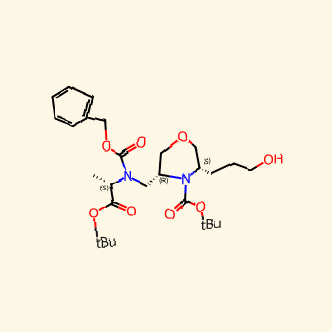 C[C@@H](C(=O)OC(C)(C)C)N(C[C@@H]1COC[C@H](CCCO)N1C(=O)OC(C)(C)C)C(=O)OCc1ccccc1